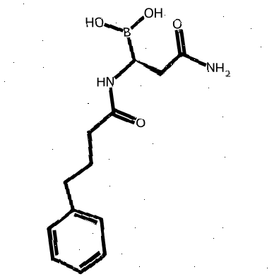 NC(=O)C[C@@H](NC(=O)CCCc1ccccc1)B(O)O